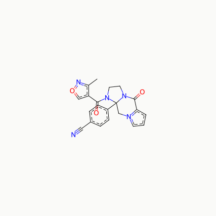 Cc1nocc1C(=O)N1CCN2C(=O)c3cccn3CC12c1ccc(C#N)cc1